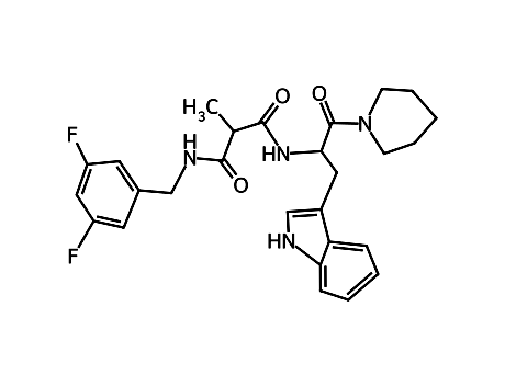 CC(C(=O)NCc1cc(F)cc(F)c1)C(=O)NC(Cc1c[nH]c2ccccc12)C(=O)N1CCCCC1